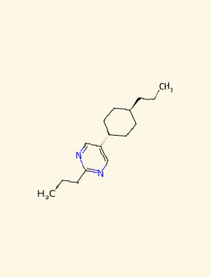 CCCc1ncc([C@H]2CC[C@H](CCC)CC2)cn1